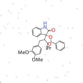 COc1ccc(CC(CC(C)C)C2(OC(=O)c3ccccc3)C(=O)Nc3ccccc32)cc1OC